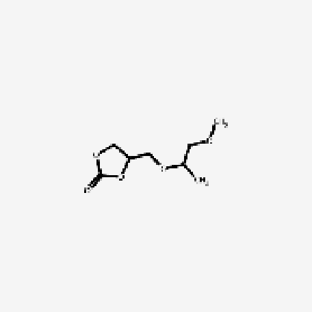 COCC(C)OCC1COC(=O)O1